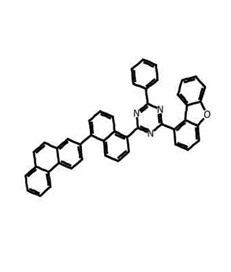 c1ccc(-c2nc(-c3cccc4c(-c5ccc6c(ccc7ccccc76)c5)cccc34)nc(-c3cccc4oc5ccccc5c34)n2)cc1